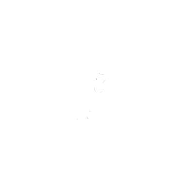 COc1ccc2cc(CC3CCN(C(=O)OC(C)(C)C)CC3)ccc2c1